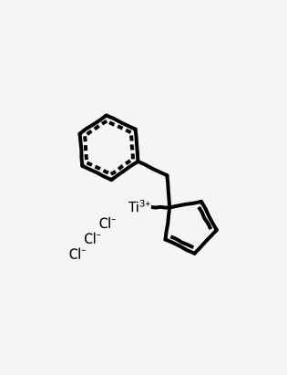 [Cl-].[Cl-].[Cl-].[Ti+3][C]1(Cc2ccccc2)C=CC=C1